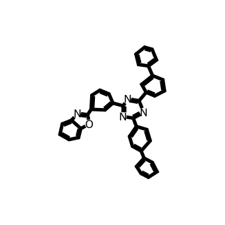 c1ccc(-c2ccc(-c3nc(-c4cccc(-c5ccccc5)c4)nc(-c4cccc(-c5nc6ccccc6o5)c4)n3)cc2)cc1